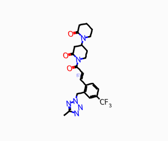 Cc1nnn(Cc2cc(C(F)(F)F)ccc2/C=C/C(=O)N2CCC(N3CCCCC3=O)CC2=O)n1